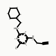 C#CCNc1nc(Cl)nc(NCC2CCCCC2)n1